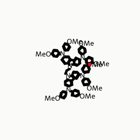 COc1ccc(N(c2ccc(OC)cc2)c2ccc3c(c2)c2cc(N(c4ccc(OC)cc4)c4ccc(OC)cc4)ccc2n3CCCn2c3ccc(N(c4ccc(OC)cc4)c4ccc(OC)cc4)cc3c3cc(N(c4ccc(OC)cc4)c4ccc(OC)cc4)ccc32)cc1